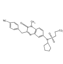 CCOC(=O)CCS(=O)(=O)N(c1ccc2c(c1)nc(Cc1ccc(C#N)cc1)c(=O)n2C)C1CCCC1